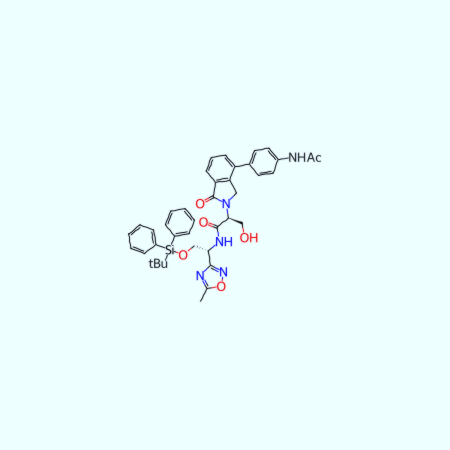 CC(=O)Nc1ccc(-c2cccc3c2CN([C@@H](CO)C(=O)N[C@@H](CO[Si](c2ccccc2)(c2ccccc2)C(C)(C)C)c2noc(C)n2)C3=O)cc1